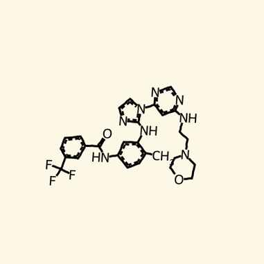 Cc1ccc(NC(=O)c2cccc(C(F)(F)F)c2)cc1Nc1nccn1-c1cc(NCCN2CCOCC2)ncn1